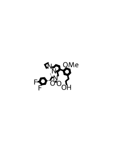 COc1ccc(CCCO)cc1-c1ccc(N2CCC2)nc1CN1C(=O)O[C@H](c2ccc(F)c(F)c2)[C@@H]1C